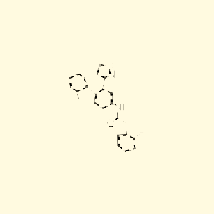 Cc1ccccc1-c1ccc(NC(=O)Cc2c(F)cccc2F)cc1-c1ccon1